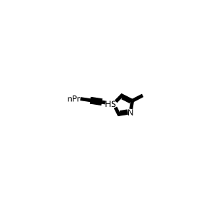 CCCC#C[SH]1C=NC(C)=C1